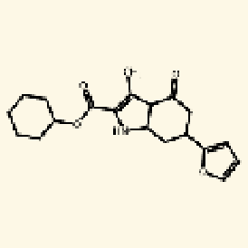 CC1=C(C(=O)OC2CCCCC2)NC2CC(c3ccco3)CC(=O)C12